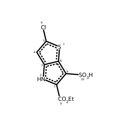 CCOC(=O)c1[nH]c2cc(Cl)sc2c1S(=O)(=O)O